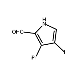 CC(C)c1c(I)c[nH]c1C=O